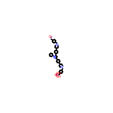 O=PCc1ccc(C[n+]2ccc(-c3ccc(-c4cc(-c5ccc(-c6cc[n+](Cc7ccc(CP(=O)(O)O)cc7)cc6)cc5)nn4-c4ccccc4)cc3)cc2)cc1